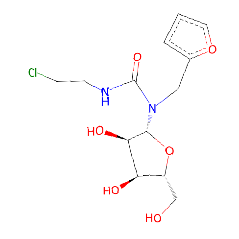 O=C(NCCCl)N(Cc1ccco1)[C@@H]1O[C@H](CO)[C@@H](O)[C@H]1O